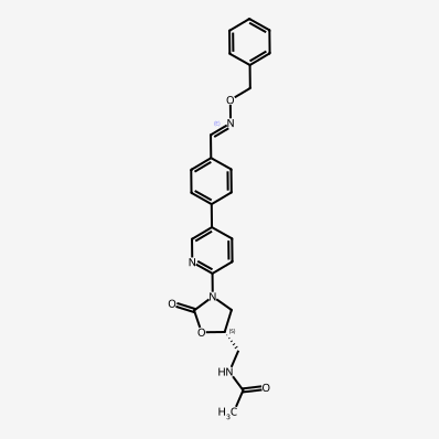 CC(=O)NC[C@H]1CN(c2ccc(-c3ccc(/C=N/OCc4ccccc4)cc3)cn2)C(=O)O1